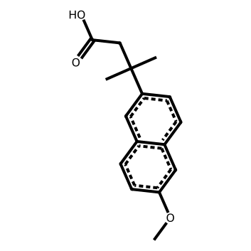 COc1ccc2cc(C(C)(C)CC(=O)O)ccc2c1